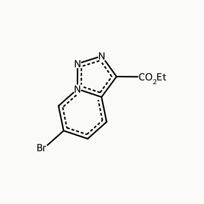 CCOC(=O)c1nnn2cc(Br)ccc12